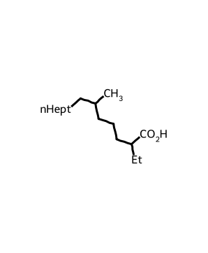 CCCCCCCCC(C)CCCC(CC)C(=O)O